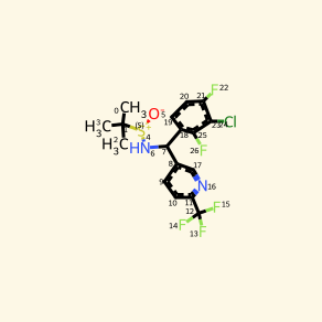 CC(C)(C)[S@@+]([O-])NC(c1ccc(C(F)(F)F)nc1)c1ccc(F)c(Cl)c1F